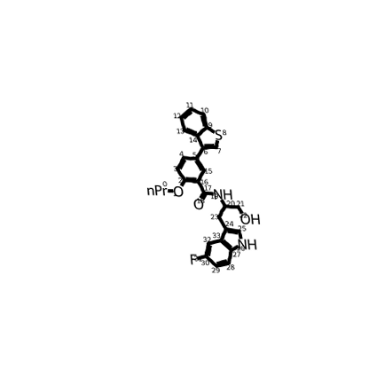 CCCOc1ccc(-c2csc3ccccc23)cc1C(=O)NC(CO)Cc1c[nH]c2ccc(F)cc12